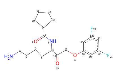 NCCCCC(NC(=O)C1CCCC1)C(=O)COc1cc(F)cc(F)c1